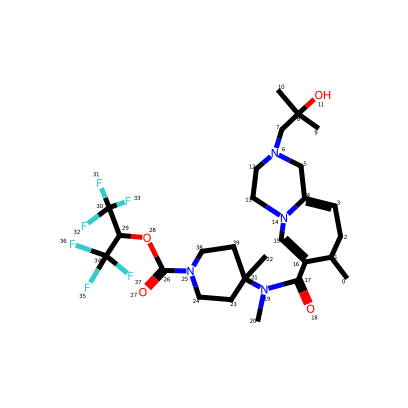 CC1CC=C2CN(CC(C)(C)O)CCN2C=C1C(=O)N(C)C1(C)CCN(C(=O)OC(C(F)(F)F)C(F)(F)F)CC1